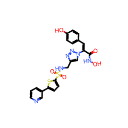 O=C(NO)C(=Cc1ccc(O)cc1)n1cc(CNS(=O)(=O)c2ccc(-c3cccnc3)s2)nn1